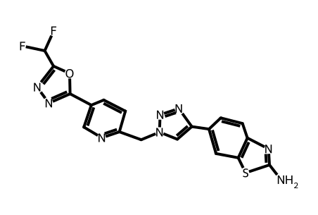 Nc1nc2ccc(-c3cn(Cc4ccc(-c5nnc(C(F)F)o5)cn4)nn3)cc2s1